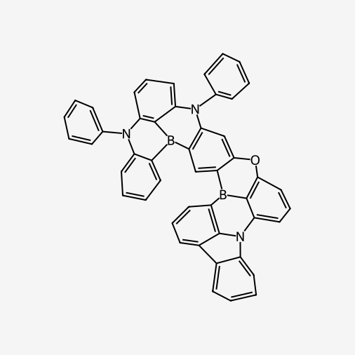 c1ccc(N2c3ccccc3B3c4cc5c(cc4N(c4ccccc4)c4cccc2c43)Oc2cccc3c2B5c2cccc4c5ccccc5n-3c24)cc1